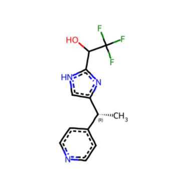 C[C@H](c1ccncc1)c1c[nH]c(C(O)C(F)(F)F)n1